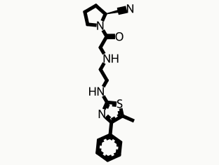 Cc1sc(NCCNCC(=O)N2CCC[C@H]2C#N)nc1-c1ccccc1